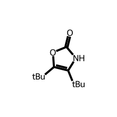 CC(C)(C)c1[nH]c(=O)oc1C(C)(C)C